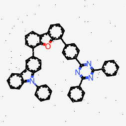 c1ccc(-c2nc(-c3ccccc3)nc(-c3ccc(-c4cccc5c4oc4c(-c6ccc7c(c6)c6ccccc6n7-c6ccccc6)cccc45)cc3)n2)cc1